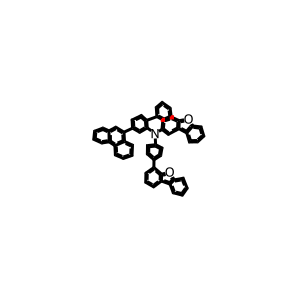 c1ccc(-c2ccc(-c3cc4ccccc4c4ccccc34)cc2N(c2ccc(-c3cccc4c3oc3ccccc34)cc2)c2ccc3oc4ccccc4c3c2)cc1